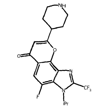 CC(C)n1c(C(F)(F)F)nc2c3oc(C4CCNCC4)cc(=O)c3cc(F)c21